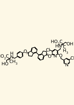 C[C@@](CO)(NCc1ccc(O[C@H]2CCc3c(-c4cccc5c4CC[C@@H]5Oc4nc(OCc5cncc(C#N)c5)c(CN[C@@](C)(CO)C(=O)O)cc4Cl)cccc32)cc1)C(=O)O